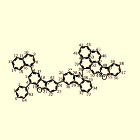 c1ccc(-c2cc(-c3cccc4ccccc34)cc3c2oc2ccc(-c4ccc5c(c4)c4ccccc4n5-c4cc5cccc6ccc7c8c(cc4c7c65)oc4ccccc48)cc23)cc1